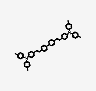 Cc1ccc(N(c2ccc(C)cc2)c2ccc(/C=C/C3=CCC(c4ccc(/C=C/c5ccc(N(c6ccc(C)cc6)c6ccc(C)cc6)cc5)cc4)C=C3)cc2)cc1